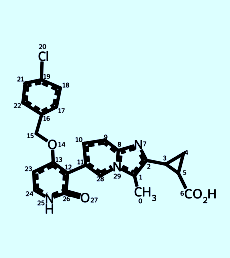 Cc1c(C2CC2C(=O)O)nc2ccc(-c3c(OCc4ccc(Cl)cc4)cc[nH]c3=O)cn12